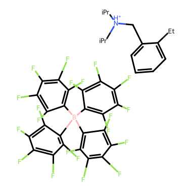 CCc1ccccc1C[NH+](C(C)C)C(C)C.Fc1c(F)c(F)c([B-](c2c(F)c(F)c(F)c(F)c2F)(c2c(F)c(F)c(F)c(F)c2F)c2c(F)c(F)c(F)c(F)c2F)c(F)c1F